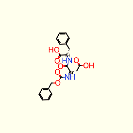 O=C(O)C[C@H](NC(=O)OCc1ccccc1)C(=O)N[C@@H](Cc1ccccc1)C(=O)O